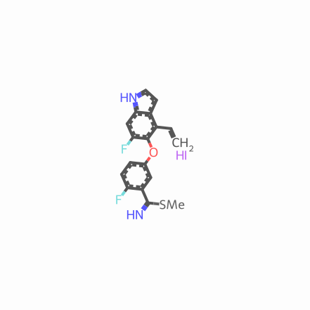 C=Cc1c(Oc2ccc(F)c(C(=N)SC)c2)c(F)cc2[nH]ccc12.I